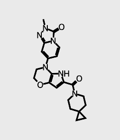 Cn1nc2cc(N3CCOc4cc(C(=O)N5CCC6(CC5)CC6)[nH]c43)ccn2c1=O